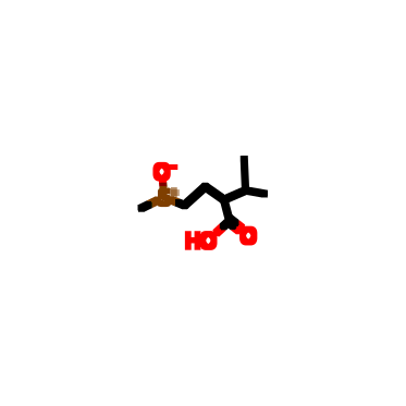 CC(C)C(CC[S+](C)[O-])C(=O)O